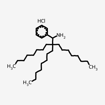 CCCCCCCCC(CCCCCCCC)(CCCCCCCC)C(N)c1ccccc1.Cl